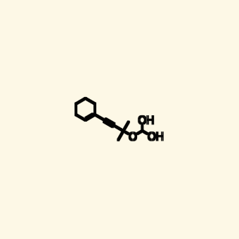 CC(C)(C#CC1=CCCCC1)OC(O)O